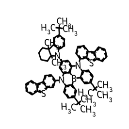 CC(C)(C)c1ccc2c(c1)B1c3cc(C(C)(C)C)ccc3N(c3cccc4c3sc3ccccc34)c3cc(N4c5ccc(C(C)(C)C)cc5C5(C)CCCCC45C)cc(c31)N2c1ccc2c(c1)sc1ccccc12